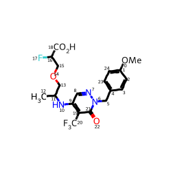 COc1ccc(Cn2ncc(NC(C)COCC(F)C(=O)O)c(C(F)(F)F)c2=O)cc1